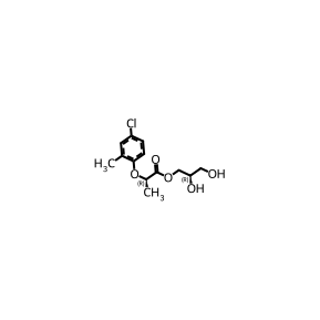 Cc1cc(Cl)ccc1O[C@H](C)C(=O)OC[C@H](O)CO